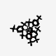 CC(C)(C)c1ccc([SiH](O[SiH](c2ccc(C(C)(C)C)cc2C(C)(C)C)c2ccc(C(C)(C)C)cc2C(C)(C)C)c2ccc(C(C)(C)C)cc2C(C)(C)C)c(C(C)(C)C)c1